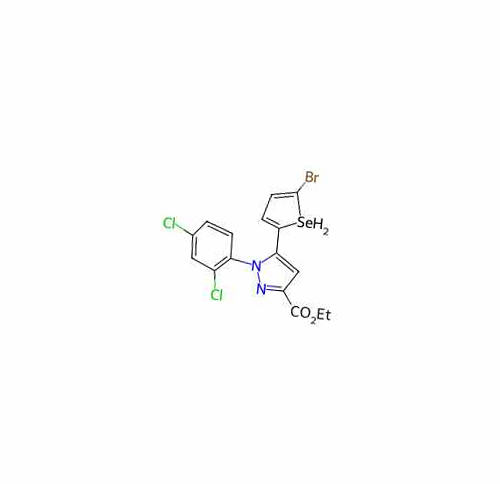 CCOC(=O)c1cc(C2=CC=C(Br)[SeH2]2)n(-c2ccc(Cl)cc2Cl)n1